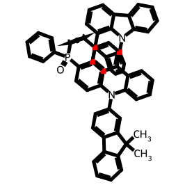 CC1(C)c2ccccc2-c2ccc(N(c3ccc4c(c3)C3(c5ccccc5-n5c6ccccc6c6cccc3c65)c3ccccc3P4(=O)c3ccccc3)c3ccccc3-c3ccccc3)cc21